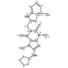 Cn1c(NC2CCCC2)nc2c1c(=O)n(Cc1cc3c(Cl)cccc3[nH]1)c(=O)n2C